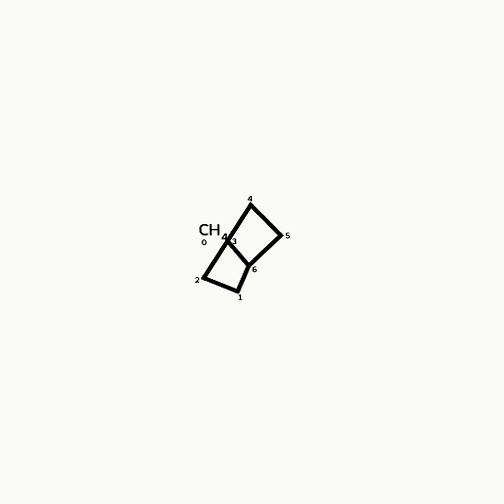 C.C1CC2CCC12